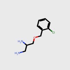 NCC(N)COCc1ccccc1Cl